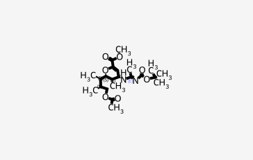 COC(=O)C1=C[C@H](N/C(C)=N/C(=O)OC(C)(C)C)[C@@H](C)[C@H]([C@H](C)[C@H](C)COC(C)=O)O1